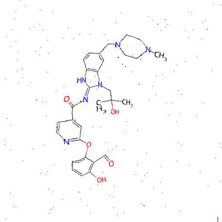 CN1CCN(Cc2ccc3[nH]/c(=N\C(=O)c4ccnc(Oc5cccc(O)c5C=O)c4)n(CC(C)(C)O)c3c2)CC1